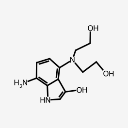 Nc1ccc(N(CCO)CCO)c2c(O)c[nH]c12